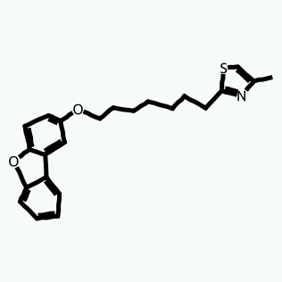 Cc1csc(CCCCCCCOc2ccc3oc4ccccc4c3c2)n1